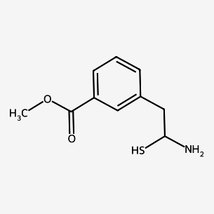 COC(=O)c1cccc(CC(N)S)c1